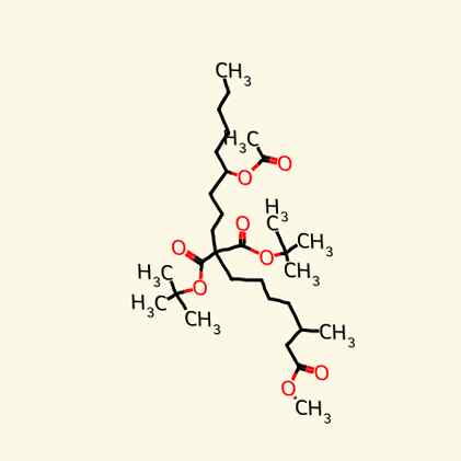 CCCCCC(CCCC(CCCCC(C)CC(=O)OC)(C(=O)OC(C)(C)C)C(=O)OC(C)(C)C)OC(C)=O